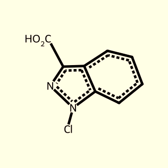 O=C(O)c1nn(Cl)c2ccccc12